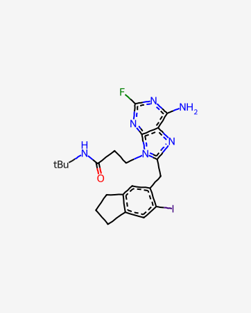 CC(C)(C)NC(=O)CCn1c(Cc2cc3c(cc2I)CCC3)nc2c(N)nc(F)nc21